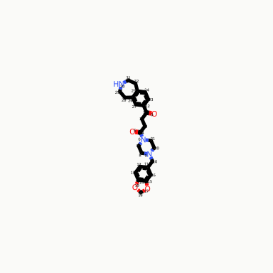 O=C(CCC(=O)N1CCN(Cc2ccc3c(c2)OCO3)CC1)c1ccc2c(c1)CCNCC2